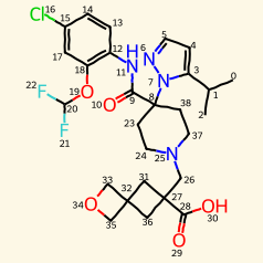 CC(C)c1ccnn1C1(C(=O)Nc2ccc(Cl)cc2OC(F)F)CCN(CC2(C(=O)O)CC3(COC3)C2)CC1